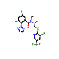 CCN(C(=O)c1cc(F)cc(F)c1-n1nccn1)[C@@H](C)COc1ncc(C(F)(F)F)cc1F